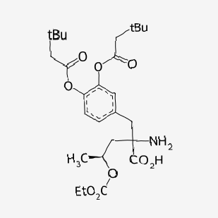 CCOC(=O)O[C@@H](C)CC(N)(Cc1ccc(OC(=O)CC(C)(C)C)c(OC(=O)CC(C)(C)C)c1)C(=O)O